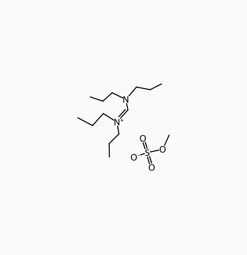 CCCN(C=[N+](CCC)CCC)CCC.COS(=O)(=O)[O-]